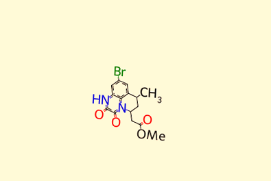 COC(=O)CC1CC(C)c2cc(Br)cc3[nH]c(=O)c(=O)n1c23